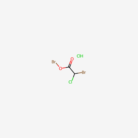 Cl.O=C(OBr)C(Cl)Br